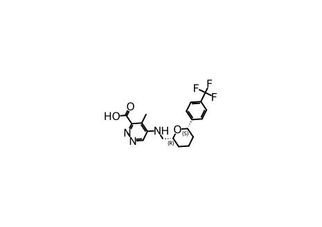 Cc1c(NC[C@H]2CCC[C@@H](c3ccc(C(F)(F)F)cc3)O2)cnnc1C(=O)O